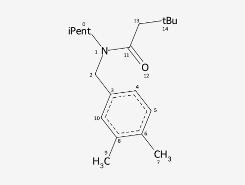 CCCC(C)N(Cc1ccc(C)c(C)c1)C(=O)CC(C)(C)C